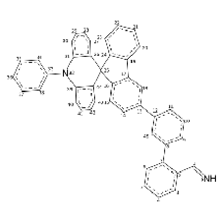 N=Cc1ccccc1-c1cccc(-c2ccc3c(c2)-c2ccccc2C32c3ccccc3N(c3ccccc3)c3ccccc32)c1